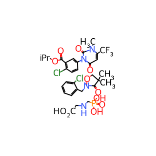 CC(C)OC(=O)c1cc(-n2c(=O)cc(C(F)(F)F)n(C)c2=O)ccc1Cl.CC1(C)CON(Cc2ccccc2Cl)C1=O.O=C(O)CNCP(=O)(O)O